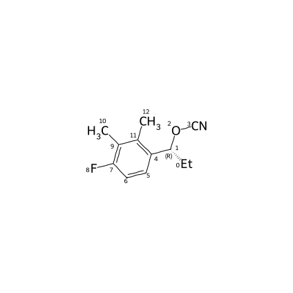 CC[C@@H](OC#N)c1ccc(F)c(C)c1C